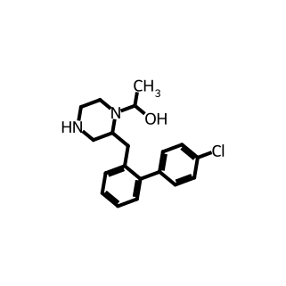 CC(O)N1CCNCC1Cc1ccccc1-c1ccc(Cl)cc1